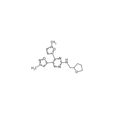 Cc1cc(-c2cnc(NCC3CCCO3)nc2-c2ccc(C)o2)on1